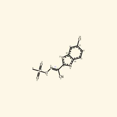 CS(=O)(=O)O/N=C(\C#N)c1nc2ccc(Cl)cc2s1